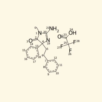 CN1C(=O)C(CCc2ccccc2)(c2ccccc2)N=C1N.O=C(O)C(F)(F)F